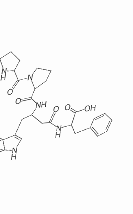 O=C(CC(Cc1c[nH]c2ccccc12)NC(=O)C1CCCN1C(=O)C1CCCN1)NC(Cc1ccccc1)C(=O)O